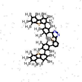 Bc1c(B)c(-c2cccc3c2sc2c(-c4c(B)c(B)c(B)c(-c5c(B)c(B)c(B)c6c5sc5c(B)c(B)c(B)c(B)c56)c4B)ncnc23)c(B)c(-c2c(B)c(B)c(B)c3c2sc2c(B)c(B)c(B)c(B)c23)c1B